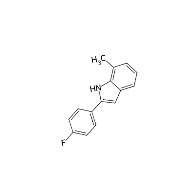 Cc1cccc2cc(-c3ccc(F)cc3)[nH]c12